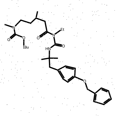 CCN(C(=O)CC(C)CCN(C)C(=O)OC(C)(C)C)C(=O)NC(C)(C)Cc1ccc(OCc2ccccc2)cc1